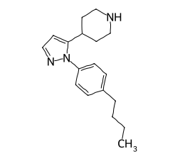 CCCCc1ccc(-n2nccc2C2CCNCC2)cc1